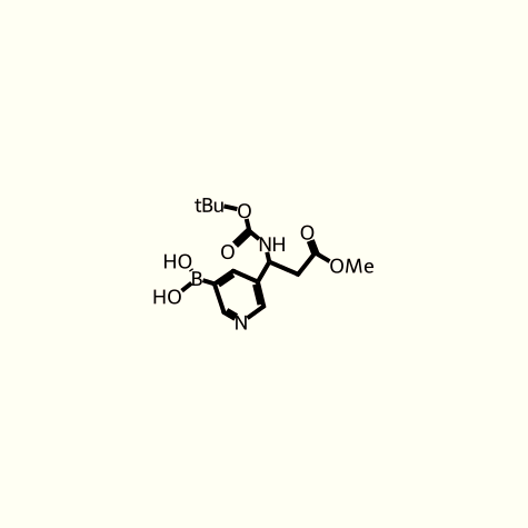 COC(=O)CC(NC(=O)OC(C)(C)C)c1cncc(B(O)O)c1